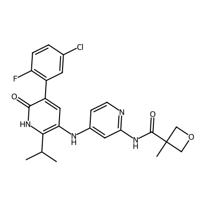 CC(C)c1[nH]c(=O)c(-c2cc(Cl)ccc2F)cc1Nc1ccnc(NC(=O)C2(C)COC2)c1